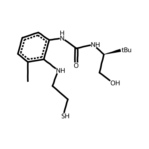 Cc1cccc(NC(=O)N[C@H](CO)C(C)(C)C)c1NCCS